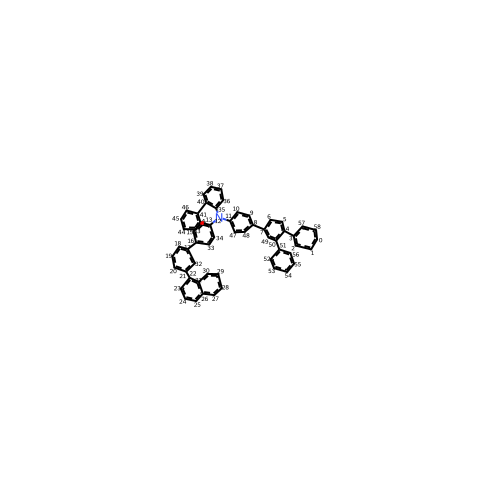 c1ccc(-c2ccc(-c3ccc(N(c4ccc(-c5cccc(-c6cccc7ccccc67)c5)cc4)c4ccccc4-c4ccccc4)cc3)cc2-c2ccccc2)cc1